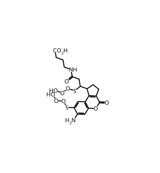 Nc1cc2oc(=O)c3c(c2cc1SOOO)C(C(CC(=O)NCCCC(=O)O)SOOO)CC3